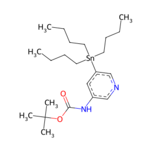 CCC[CH2][Sn]([CH2]CCC)([CH2]CCC)[c]1cncc(NC(=O)OC(C)(C)C)c1